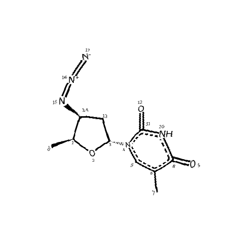 [CH2][C@@H]1O[C@@H](n2cc(C)c(=O)[nH]c2=O)C[C@@H]1N=[N+]=[N-]